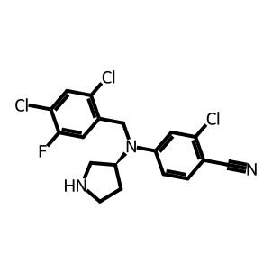 N#Cc1ccc(N(Cc2cc(F)c(Cl)cc2Cl)[C@H]2CCNC2)cc1Cl